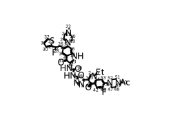 CCn1cc(-c2nnc(NC(=O)Nc3c[nH]c4cc(N5CCN(C)CC5)c(CC(F)c5cccs5)cc4c3=O)o2)c(=O)c2cc(F)c(N3CCN(C(C)=O)CC3)cc21